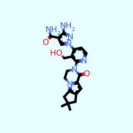 CC1(C)Cc2cc3n(c2C1)CCN(c1nccc(-n2cc(C(N)=O)c(N)n2)c1CO)C3=O